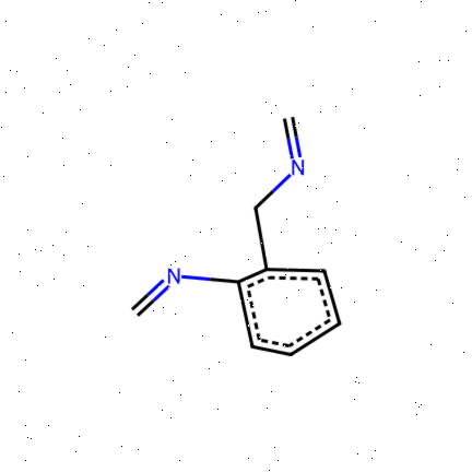 C=NCc1ccccc1N=C